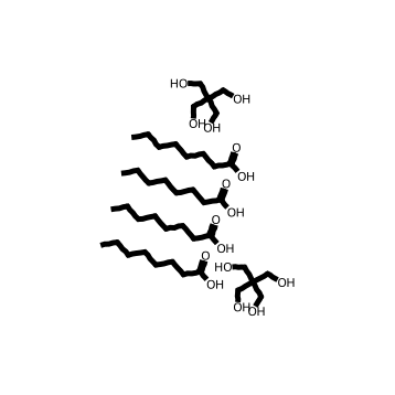 CCCCCCCC(=O)O.CCCCCCCC(=O)O.CCCCCCCC(=O)O.CCCCCCCC(=O)O.OCC(CO)(CO)CO.OCC(CO)(CO)CO